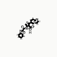 O=C(Nc1csc(-c2ccc3nccn3c2)c1C(=O)O)c1nc2ccccc2o1